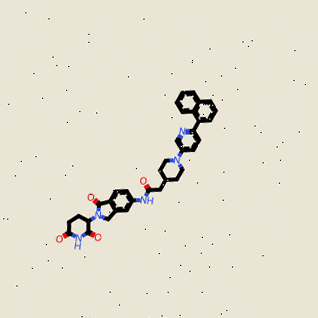 O=C1CCC(N2Cc3cc(NC(=O)CC4CCN(c5ccc(-c6cccc7ccccc67)nc5)CC4)ccc3C2=O)C(=O)N1